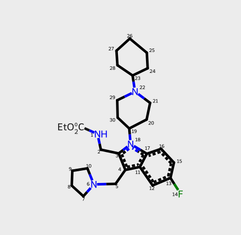 CCOC(=O)NCc1c(CN2CCCC2)c2cc(F)ccc2n1C1CCN(C2CCCCC2)CC1